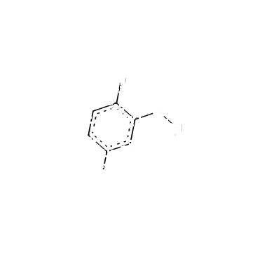 Fc1ccc(Br)c(OC(F)(F)F)c1